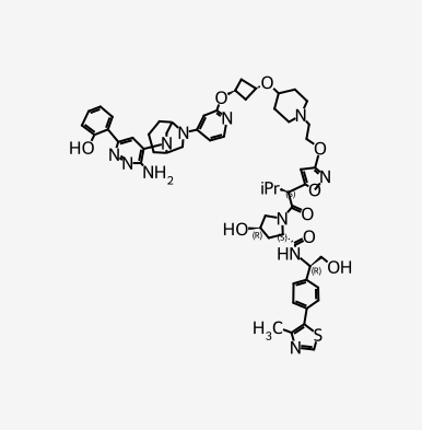 Cc1ncsc1-c1ccc([C@H](CO)NC(=O)[C@@H]2C[C@@H](O)CN2C(=O)[C@H](c2cc(OCCN3CCC(O[C@H]4C[C@H](Oc5cc(N6CC7CCCC6CN7c6cc(-c7ccccc7O)nnc6N)ccn5)C4)CC3)no2)C(C)C)cc1